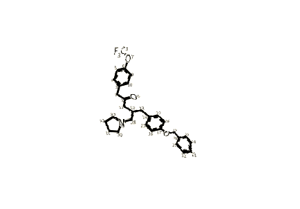 O=C(Cc1ccc(OC(F)(F)F)cc1)CC(Cc1ccc(OCc2ccccc2)cc1)CN1CCCC1